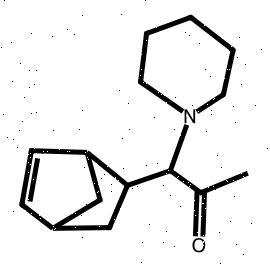 CC(=O)C(C1CC2C=CC1C2)N1CCCCC1